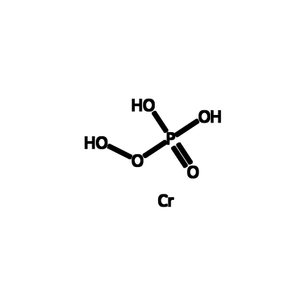 O=P(O)(O)OO.[Cr]